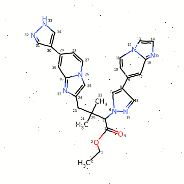 CCOC(=O)C(n1cc(-c2ccn3ccnc3c2)cn1)C(C)(C)Cc1cn2ccc(-c3cn[nH]c3)cc2n1